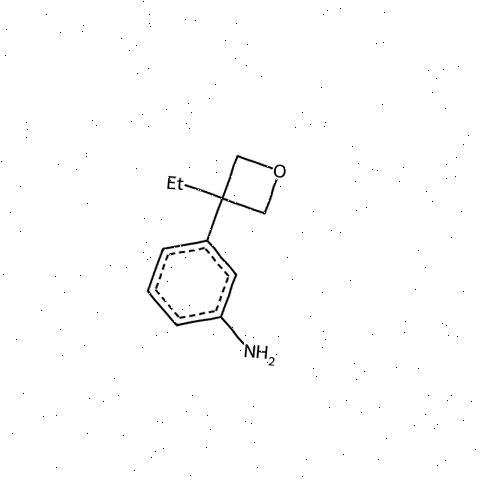 CCC1(c2cccc(N)c2)COC1